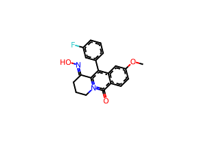 COc1ccc2c(=O)n3c(c(-c4cccc(F)c4)c2c1)C(=NO)CCC3